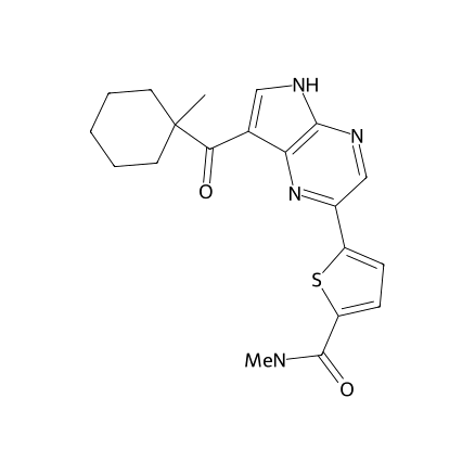 CNC(=O)c1ccc(-c2cnc3[nH]cc(C(=O)C4(C)CCCCC4)c3n2)s1